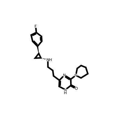 O=c1[nH]cc(CCCN[C@@H]2C[C@H]2c2ccc(F)cc2)nc1N1CCCCC1